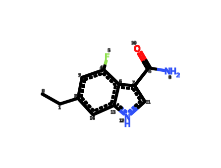 CCc1cc(F)c2c(C(N)=O)c[nH]c2c1